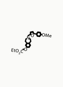 CCOC(=O)COc1ccc2c(c1)CCN(Cc1ccc(-c3ccc(OC)cc3)o1)CC2